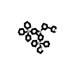 c1ccc(-c2cccc(-n3c4ccc([Si](c5ccccc5)(c5ccccc5)c5ccccc5)cc4c4cc([Si](c5ccccc5)(c5ccccc5)c5ccccc5)ccc43)c2)cc1